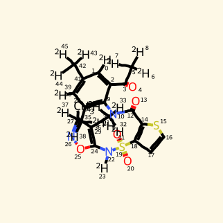 [2H]c1c(C(=O)C([2H])([2H])[2H])c(N([2H])C(=O)c2sccc2S(=O)(=O)N([2H])c2onc(C)c2C([2H])([2H])[2H])c(C([2H])([2H])[2H])c([2H])c1C([2H])([2H])[2H]